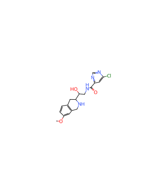 COc1ccc2c(c1)CNC(C(O)CNC(=O)c1cc(Cl)ncn1)C2